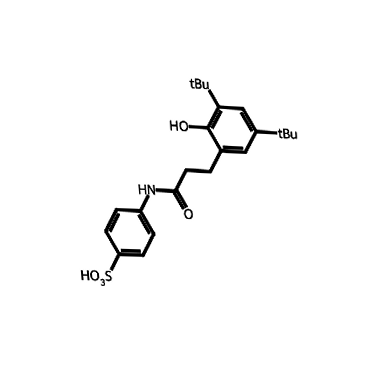 CC(C)(C)c1cc(CCC(=O)Nc2ccc(S(=O)(=O)O)cc2)c(O)c(C(C)(C)C)c1